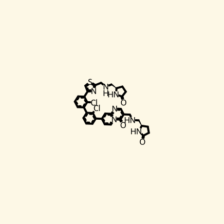 O=C1CC[C@H](CNCc2nc(-c3cccc(-c4cccc(-c5ccn6c(=O)c(CNC[C@H]7CCC(=O)N7)cnc6c5)c4Cl)c3Cl)cs2)N1